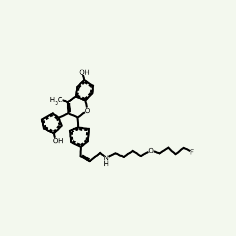 CC1=C(c2cccc(O)c2)C(c2ccc(/C=C\CNCCCCOCCCCF)cc2)Oc2ccc(O)cc21